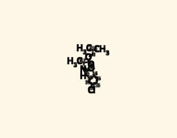 CC(C)COC(=O)C(C)NC(=O)Cc1cccc(Cl)c1